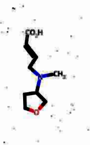 CN(CC=CC(=O)O)C1CCOC1